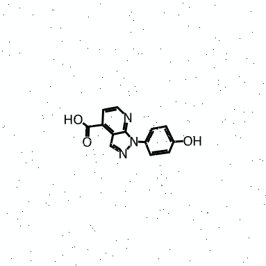 O=C(O)c1ccnc2c1cnn2-c1ccc(O)cc1